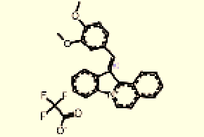 COc1ccc(/C=C2\c3ccccc3-[n+]3ccc4ccccc4c32)cc1OC.O=C([O-])C(F)(F)F